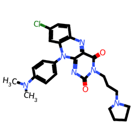 CN(C)c1ccc(-n2c3nc(=O)n(CCCN4CCCC4)c(=O)c-3nc3ccc(Cl)cc32)cc1